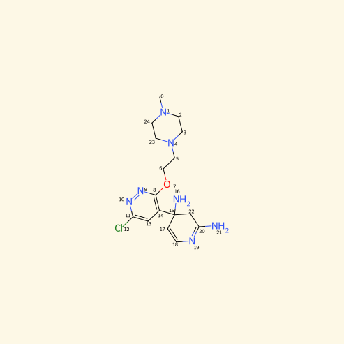 CN1CCN(CCOc2nnc(Cl)cc2C2(N)C=CN=C(N)C2)CC1